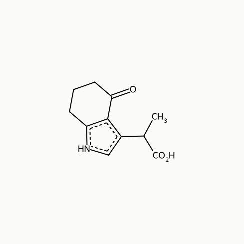 CC(C(=O)O)c1c[nH]c2c1C(=O)CCC2